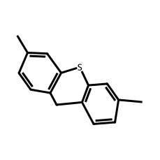 Cc1ccc2c(c1)Sc1cc(C)ccc1C2